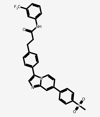 CS(=O)(=O)c1ccc(-c2ccn3c(-c4ccc(CCC(=O)Nc5cccc(C(F)(F)F)c5)cc4)cnc3c2)cc1